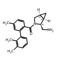 Cc1ccc(C(=O)N2C[C@H]3C[C@H]3[C@H]2CN)c(-c2cccc(C)c2C)c1